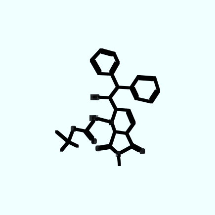 CN1C(=O)C2C=CC(C(O)C(c3ccccc3)c3ccccc3)N(NC(=O)OC(C)(C)C)C2C1=O